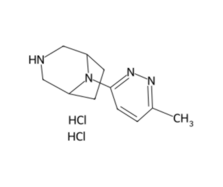 Cc1ccc(N2C3CCC2CNC3)nn1.Cl.Cl